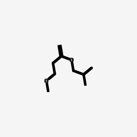 C=C(CCOC)OCC(C)C